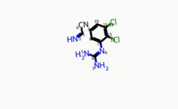 N#CC=N.NC(N)=Nc1cccc(Cl)c1Cl